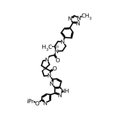 CC(C)Oc1ccc(-c2n[nH]c3ccc(N4CC[C@]5(CCN(CC(=O)N6CCN(c7ccc(-c8ncn(C)n8)cc7)C[C@@H]6C)C5)C4=O)nc23)cn1